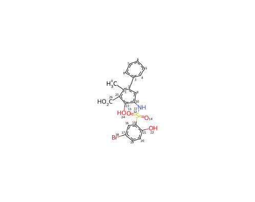 Cc1c(-c2ccccc2)cc(NS(=O)(=O)c2cc(Br)ccc2O)c(O)c1C(=O)O